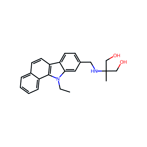 CCn1c2cc(CNC(C)(CO)CO)ccc2c2ccc3ccccc3c21